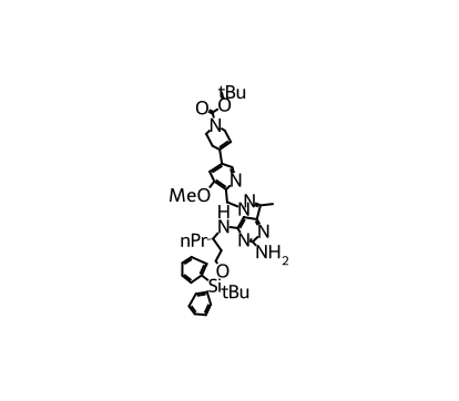 CCC[C@@H](CCO[Si](c1ccccc1)(c1ccccc1)C(C)(C)C)Nc1nc(N)nc2c(C)nn(Cc3ncc(C4=CCN(C(=O)OC(C)(C)C)CC4)cc3OC)c12